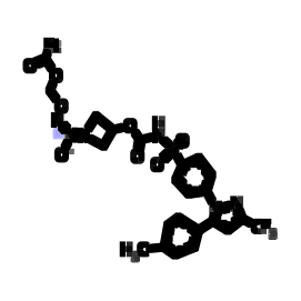 CCC(=O)OCO/N=[N+](/[O-])N1CC(OC(=O)NS(=O)(=O)c2ccc(-n3nc(C(F)(F)F)cc3-c3ccc(C)cc3)cc2)C1